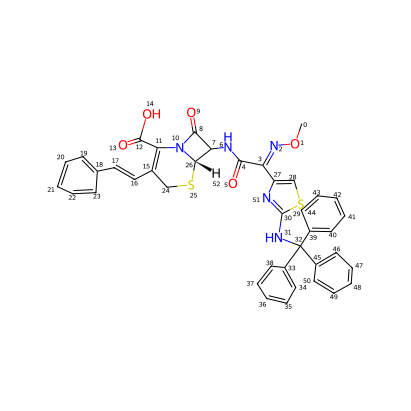 CON=C(C(=O)NC1C(=O)N2C(C(=O)O)=C(C=Cc3ccccc3)CS[C@@H]12)c1csc(NC(c2ccccc2)(c2ccccc2)c2ccccc2)n1